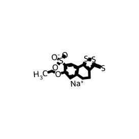 CCOc1cc2c(cc1S(=O)(=O)[O-])-c1ssc(=S)c1CC2.[Na+]